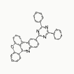 c1ccc(-c2nc(-c3ccccc3)nc(-c3ccc4nc5c6c(cccc6c4c3)Oc3ccccc3-5)n2)cc1